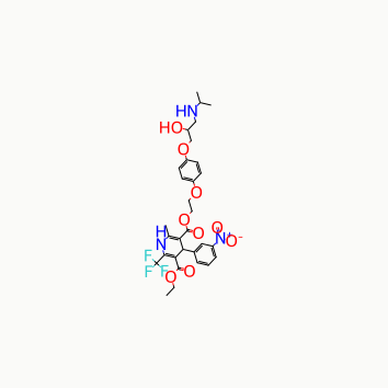 CCOC(=O)C1=C(C(F)(F)F)NC(C)=C(C(=O)OCCOc2ccc(OCC(O)CNC(C)C)cc2)C1c1cccc([N+](=O)[O-])c1